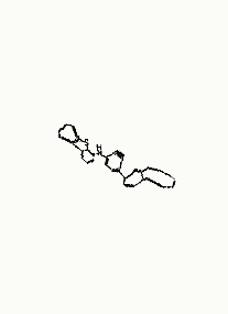 c1ccc2cc(-c3ccc(Nc4cccc5c4sc4ccccc45)cc3)ccc2c1